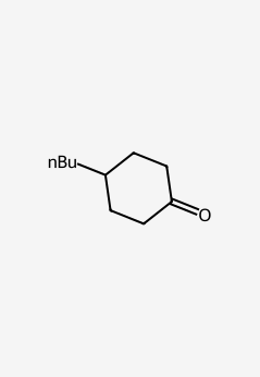 [CH2]CCCC1CCC(=O)CC1